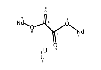 O=C([O][Nd])C(=O)[O][Nd].[U].[U]